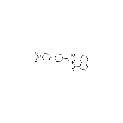 O=C1c2cccc3cccc(c23)C(O)N1CCN1CC=C(c2ccc([N+](=O)[O-])cc2)CC1